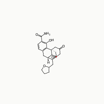 NC(=O)c1ccc2c(c1O)[C@]13CCC(CC4CCCO4)[C@H](C2)[C@]1(O)CCC(=O)C3